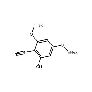 CCCCCCOc1cc(O)c([N+]#N)c(OCCCCCC)c1